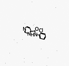 O=C(Nc1ccccc1Cl)c1ccncn1